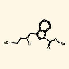 CCCCCCCCCCCC[S+]([O-])Cc1cn(C(=O)OC(C)(C)C)c2ccccc12